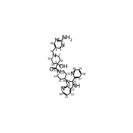 Nc1ncc(CN2CCC(O)(C(=O)N3CCC(N4c5ncccc5NC4c4ccccn4)CC3)CC2)cn1